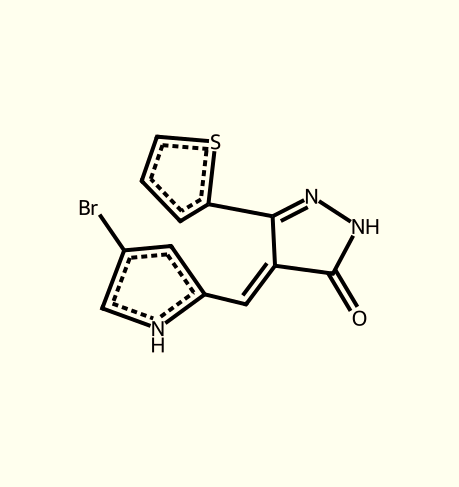 O=C1NN=C(c2cccs2)C1=Cc1cc(Br)c[nH]1